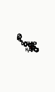 CS(=O)(=O)OC(Cc1ccccc1)(C(N)=O)c1ccc(-c2ccc(OCCN3CCOCC3)cc2)cn1